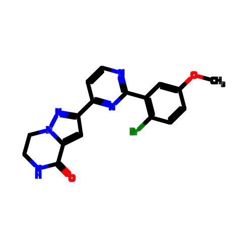 COc1ccc(Br)c(-c2nccc(-c3cc4n(n3)CCNC4=O)n2)c1